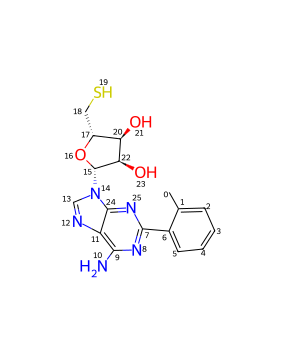 Cc1ccccc1-c1nc(N)c2ncn([C@@H]3O[C@H](CS)[C@@H](O)[C@H]3O)c2n1